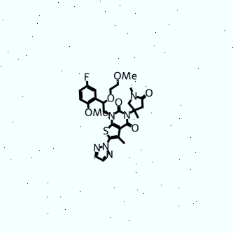 COCCOC(Cn1c(=O)n(C2(C)CC(=O)N(C)C2)c(=O)c2c(C)c(-n3nccn3)sc21)c1cc(F)ccc1OC